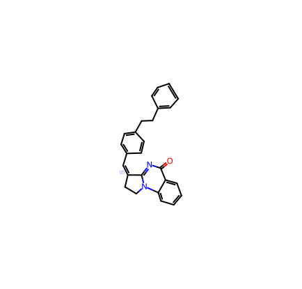 O=c1nc2n(c3ccccc13)CC/C2=C/c1ccc(CCc2ccccc2)cc1